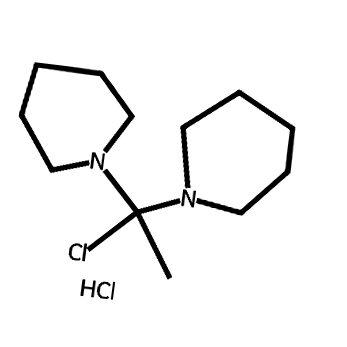 CC(Cl)(N1CCCCC1)N1CCCCC1.Cl